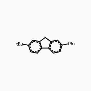 CC(C)(C)c1[c]c2c(cc1)-c1ccc(C(C)(C)C)cc1C2